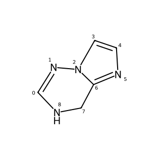 C1=Nn2ccnc2CN1